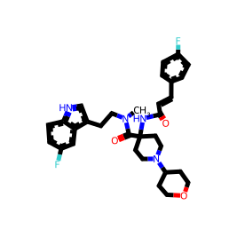 CN(CCc1c[nH]c2ccc(F)cc12)C(=O)C1(NC(=O)/C=C/c2ccc(F)cc2)CCN(C2CCOCC2)CC1